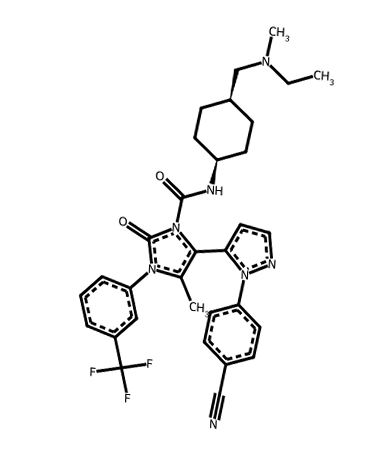 CCN(C)C[C@H]1CC[C@@H](NC(=O)n2c(-c3ccnn3-c3ccc(C#N)cc3)c(C)n(-c3cccc(C(F)(F)F)c3)c2=O)CC1